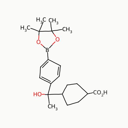 CC(O)(c1ccc(B2OC(C)(C)C(C)(C)O2)cc1)C1CCC(C(=O)O)CC1